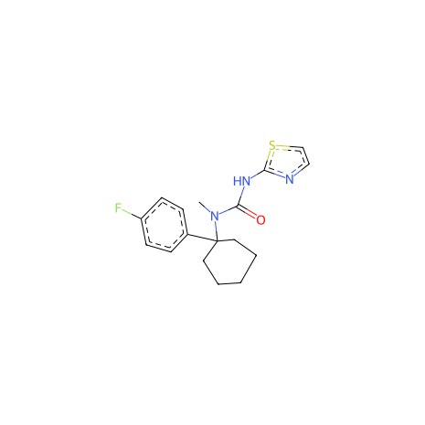 CN(C(=O)Nc1nccs1)C1(c2ccc(F)cc2)CCCCC1